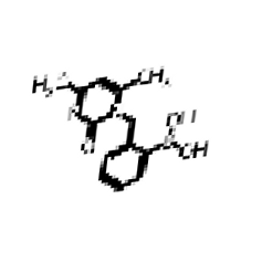 Cc1cc(C)n(Cc2ccccc2B(O)O)c(=O)n1